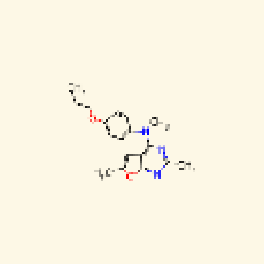 CCCOc1ccc(N(C)c2nc(C)nc3oc(C)cc23)cc1